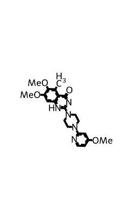 COc1ccnc(N2CCN(c3nc(=O)c4c(C)c(OC)c(OC)cc4[nH]3)CC2)c1